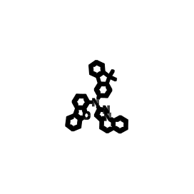 CC1(C)c2ccccc2-c2cc(N(c3cc4ccc5ccccc5n4n3)c3cccc4c3oc3ccccc34)ccc21